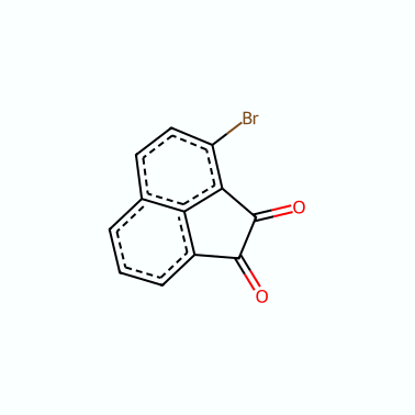 O=C1C(=O)c2c(Br)ccc3cccc1c23